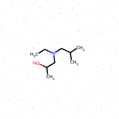 CCN(CC(C)C)CC(C)O